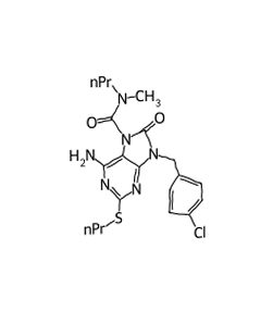 CCCSc1nc(N)c2c(n1)n(Cc1ccc(Cl)cc1)c(=O)n2C(=O)N(C)CCC